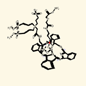 C[Si](C)(CCCNC(=O)COCC(=O)ON)O[Si]1(O[Si](C)(C)CCCNC(=O)C[N+](CCCS(=O)(=O)[O-])(CCCS(=O)(=O)ON)CCCS(=O)(=O)ON)n2c3c4ccccc4c2/N=C2N=C(/N=c4/c5ccccc5/c(n41)=N/C1=NC(=N\3)/c3ccccc31)c1ccccc1\2